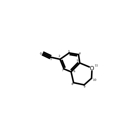 C#Cc1ccc2c(c1)CCCO2